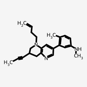 C=CCCN1CC(C#CC)Cc2ncc(-c3cc(NC)ccc3C)cc21